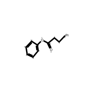 CC(C)CCC(=O)Oc1ccccc1